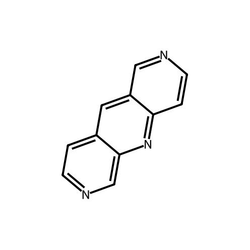 c1cc2nc3cnccc3cc2cn1